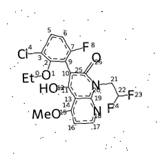 CCOc1c(Cl)ccc(F)c1-c1c(O)c2c(OC)ccnc2n(CC(F)F)c1=O